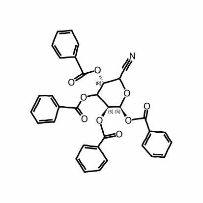 N#CC1O[C@@H](OC(=O)c2ccccc2)[C@@H](OC(=O)c2ccccc2)C(OC(=O)c2ccccc2)[C@@H]1OC(=O)c1ccccc1